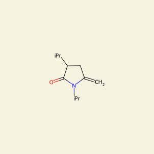 C=C1CC(C(C)C)C(=O)N1C(C)C